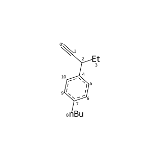 [C]#CC(CC)c1ccc(CCCC)cc1